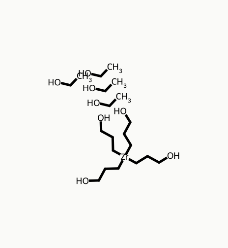 CCO.CCO.CCO.CCO.OCC[CH2][Zr]([CH2]CCO)([CH2]CCO)[CH2]CCO